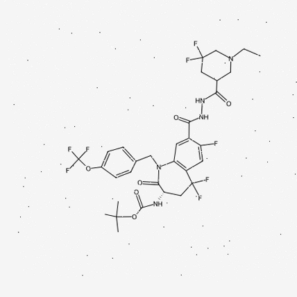 CCN1CC(C(=O)NNC(=O)c2cc3c(cc2F)C(F)(F)C[C@H](NC(=O)OC(C)(C)C)C(=O)N3Cc2ccc(OC(F)(F)F)cc2)CC(F)(F)C1